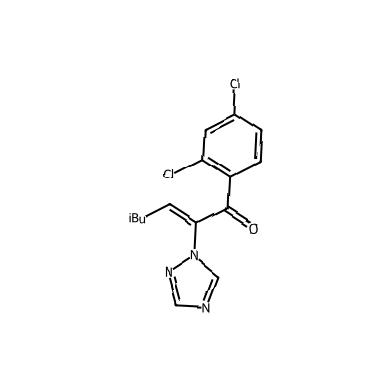 CCC(C)/C=C(/C(=O)c1ccc(Cl)cc1Cl)n1cncn1